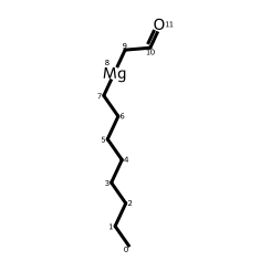 CCCCCCC[CH2][Mg][CH2]C=O